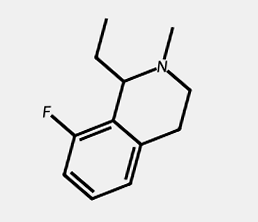 CCC1c2c(F)cccc2CCN1C